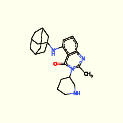 Cc1nc2cccc(NC34CC5CC(CC(C5)C3)C4)c2c(=O)n1C1CCCNC1